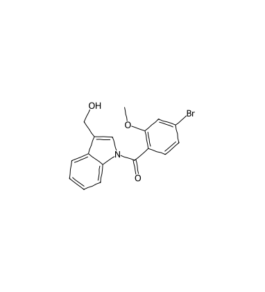 COc1cc(Br)ccc1C(=O)n1cc(CO)c2ccccc21